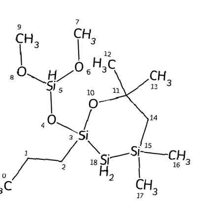 CCC[Si]1(O[SiH](OC)OC)OC(C)(C)C[Si](C)(C)[SiH2]1